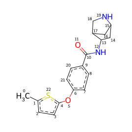 Cc1ccc(Oc2ccc(C(=O)NC3CC4CC3CN4)cc2)s1